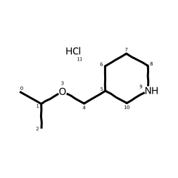 CC(C)OCC1CCCNC1.Cl